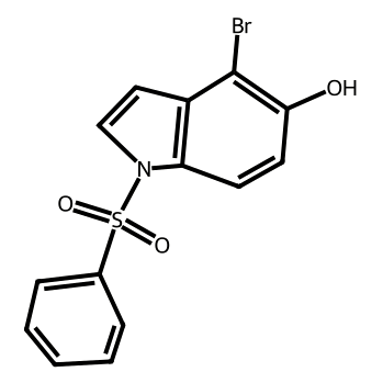 O=S(=O)(c1ccccc1)n1ccc2c(Br)c(O)ccc21